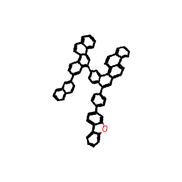 c1ccc2cc(-c3ccc4c(c3)c(-c3ccc5c(-c6ccc(-c7ccc8c(c7)oc7ccccc78)cc6)cc6ccc7c8ccccc8ccc7c6c5c3)cc3c5ccccc5ccc43)ccc2c1